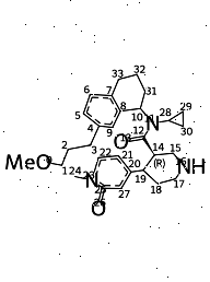 COCCCc1ccc2c(c1)C(N(C(=O)[C@H]1CNCCC1c1ccn(C)c(=O)c1)C1CC1)CCC2